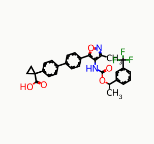 Cc1noc(-c2ccc(-c3ccc(C4(C(=O)O)CC4)cc3)cc2)c1NC(=O)O[C@H](C)c1cccc(C(F)(F)F)c1